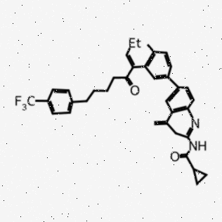 C=C1CC(NC(=O)C2CC2)=Nc2ccc(-c3ccc(C)c(/C(=C\CC)C(=O)CCCCc4ccc(C(F)(F)F)cc4)c3)cc21